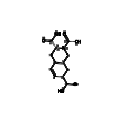 O=C(O)C1C=CC2=C(C1)CN(C(=O)O)[C@@H](C(=O)O)C2